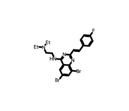 CCN(CC)CCNc1nc(C=Cc2ccc(F)cc2)nc2c(Br)cc(Br)cc12